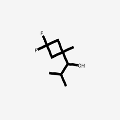 CC(C)C(O)C1(C)CC(F)(F)C1